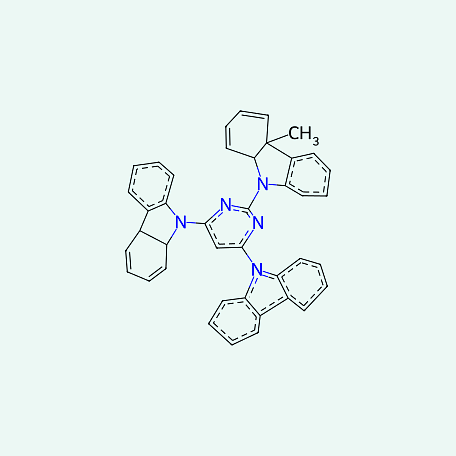 CC12C=CC=CC1N(c1nc(N3c4ccccc4C4C=CC=CC43)cc(-n3c4ccccc4c4ccccc43)n1)c1ccccc12